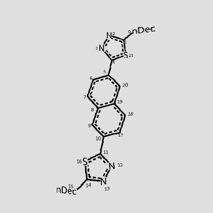 CCCCCCCCCCc1nnc(-c2ccc3cc(-c4nnc(CCCCCCCCCC)s4)ccc3c2)s1